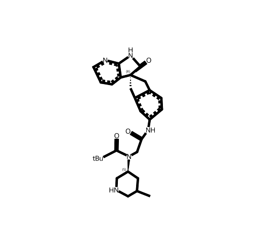 CC1CNC[C@@H](N(CC(=O)Nc2ccc3c(c2)C[C@@]2(C3)C(=O)Nc3ncccc32)C(=O)C(C)(C)C)C1